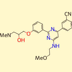 CNCC(O)COc1cccc(-c2nc(NCCOC)cc(-c3cccc(C#N)c3)n2)c1